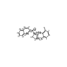 Cc1cccc(Cl)c1NC1=NCCN1C(=O)c1ccc2ccccc2n1